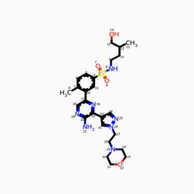 Cc1ccc(S(=O)(=O)NCCC(C)CO)cc1-c1cnc(N)c(-c2cnn(CCN3CCOCC3)c2)n1